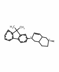 CC1(C)c2ccccc2-c2ccc([C@H]3C=CC4C[C@@H](I)CCC4C3)cc21